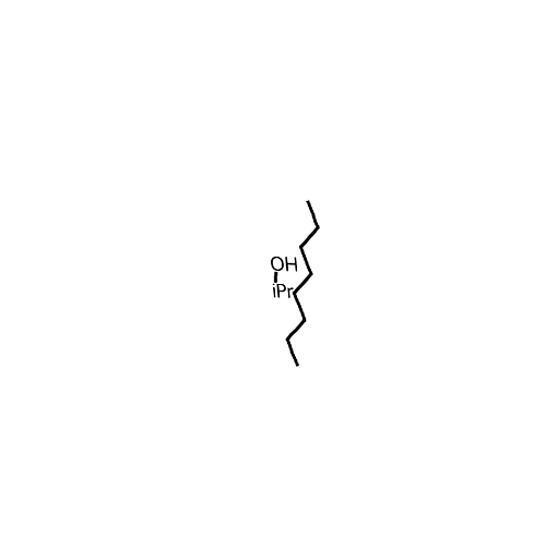 CC(C)O.CCCCCCCC